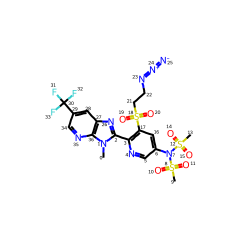 Cn1c(-c2ncc(N(S(C)(=O)=O)S(C)(=O)=O)cc2S(=O)(=O)CCN=[N+]=[N-])nc2cc(C(F)(F)F)cnc21